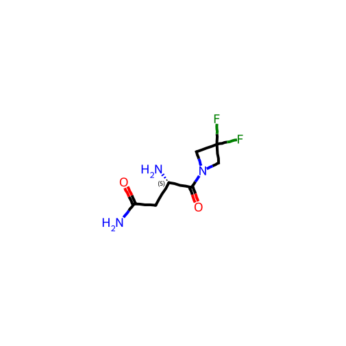 NC(=O)C[C@H](N)C(=O)N1CC(F)(F)C1